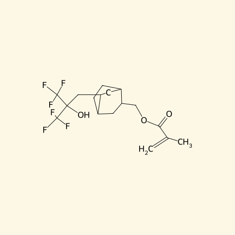 C=C(C)C(=O)OCC1CC2CCC1CC2CC(O)(C(F)(F)F)C(F)(F)F